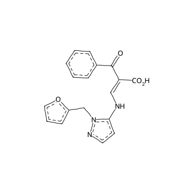 O=C(O)C(=CNc1ccnn1Cc1ccco1)C(=O)c1ccccc1